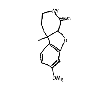 COc1ccc2c(c1)OC1C(=O)NCCC21C